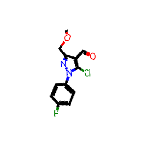 COCc1nn(-c2ccc(F)cc2)c(Cl)c1C=O